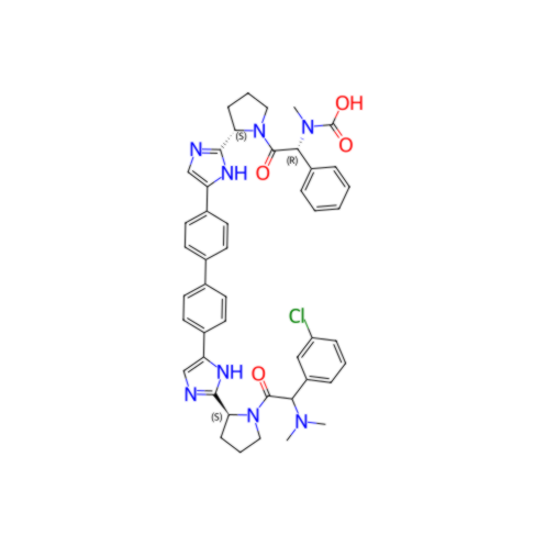 CN(C)C(C(=O)N1CCC[C@H]1c1ncc(-c2ccc(-c3ccc(-c4cnc([C@@H]5CCCN5C(=O)[C@@H](c5ccccc5)N(C)C(=O)O)[nH]4)cc3)cc2)[nH]1)c1cccc(Cl)c1